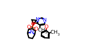 Cc1ccccc1Oc1ncnc(OC2CC3CCC(C2)N3S(=O)(=O)C2CC2)c1C